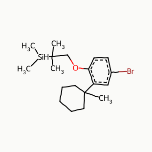 C[SiH](C)C(C)(C)COc1ccc(Br)cc1C1(C)CCCCC1